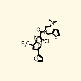 CN(C)CCN(Cc1cccs1)C(=O)c1nc2c(C(F)(F)F)cc(-c3ccco3)cn2c1Cl